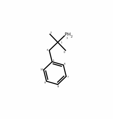 CC(C)(P)Cc1ccccc1